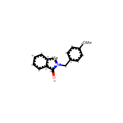 COc1ccc(Cn2[se]c3ccccc3c2=O)cc1